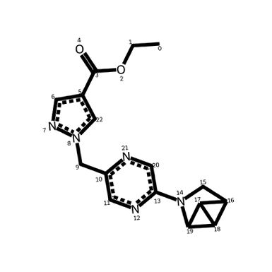 CCOC(=O)c1cnn(Cc2cnc(N3CC4C5C4C53)cn2)c1